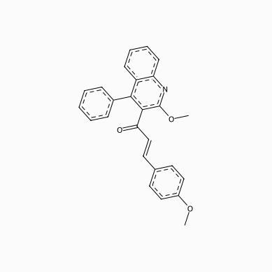 COc1ccc(/C=C/C(=O)c2c(OC)nc3ccccc3c2-c2ccccc2)cc1